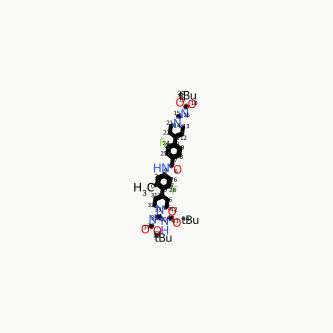 Cc1cc(NC(=O)c2ccc(C3=CCN(C=NC(=O)OC(C)(C)C)CC3)c(F)c2)cc(F)c1C1=CCN(C(=NC(=O)OC(C)(C)C)NC(=O)OC(C)(C)C)CC1